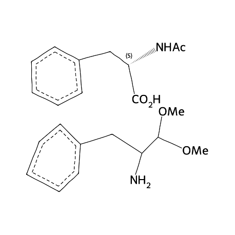 CC(=O)N[C@@H](Cc1ccccc1)C(=O)O.COC(OC)C(N)Cc1ccccc1